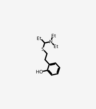 CCC(SCCc1ccccc1O)N(CC)CC